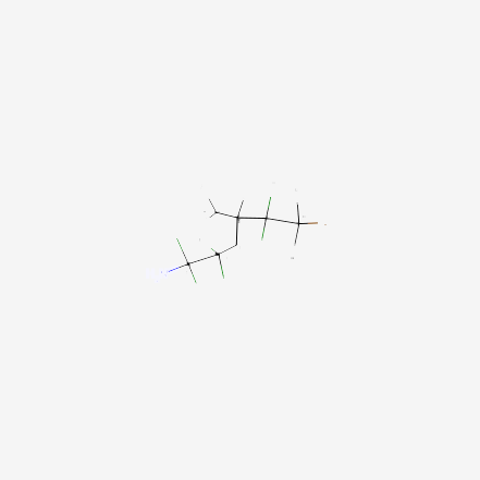 CCC(CC)C(C)(CC(F)(F)C(N)(F)F)C(F)(F)C(S)(CC)CC